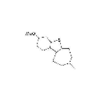 COC1CCC2C(C1)SC1CCC(C)CCC12